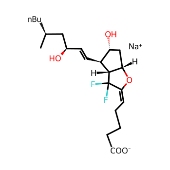 CCCC[C@H](C)C[C@H](O)C=C[C@@H]1[C@@H]2[C@H](C[C@H]1O)OC(=CCCCC(=O)[O-])C2(F)F.[Na+]